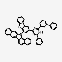 c1ccc(-c2cccc(C3=NC(c4cc(-n5c6cc7ccccc7cc6c6ccc7ccccc7c65)c5oc6ccccc6c5c4)=NC(c4ccccc4)N3)c2)cc1